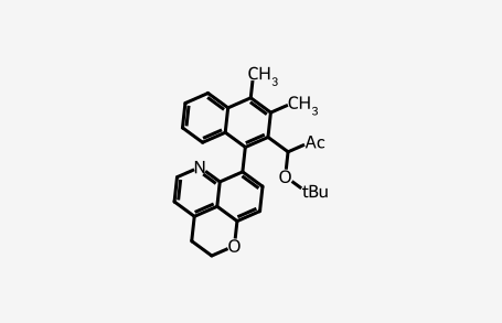 CC(=O)C(OC(C)(C)C)c1c(C)c(C)c2ccccc2c1-c1ccc2c3c(ccnc13)CCO2